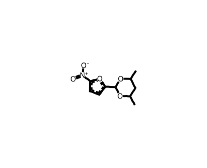 CC1CC(C)OC(c2ccc([N+](=O)[O-])o2)O1